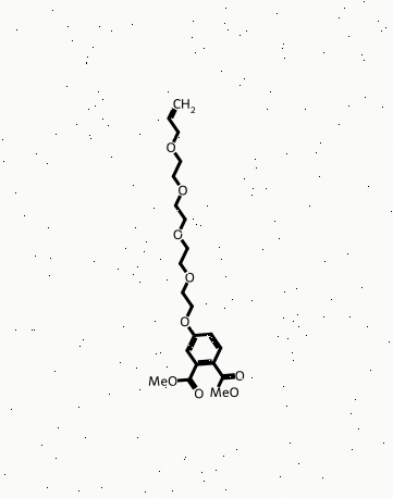 C=CCOCCOCCOCCOCCOc1ccc(C(=O)OC)c(C(=O)OC)c1